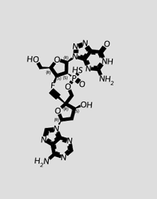 C#C[C@]1(COP(=O)(S)[C@@H]2[C@@H](F)[C@@H](CO)O[C@H]2n2nnc3c(=O)[nH]c(N)nc32)O[C@@H](n2cnc3c(N)ncnc32)C[C@@H]1O